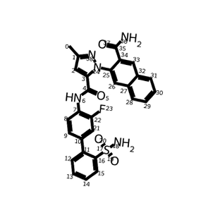 Cc1cc(C(=O)Nc2ccc(-c3ccccc3S(N)(=O)=O)cc2F)n(-c2cc3ccccc3cc2C(N)=O)n1